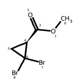 COC(=O)[C@@H]1CC1(Br)Br